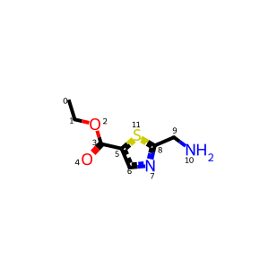 CCOC(=O)c1cnc(CN)s1